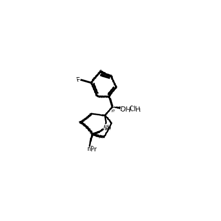 CCCC12CCC([C@H](O)c3cccc(F)c3)(CC1)N2.Cl